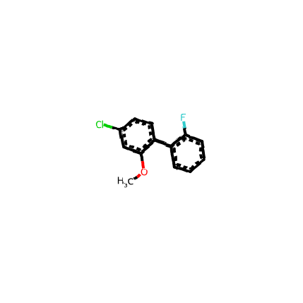 COc1cc(Cl)ccc1-c1ccccc1F